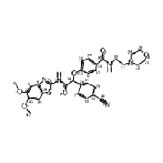 COc1cc2nc(NC(=O)C(Oc3ccc(C(=O)NCCN4CCOCC4)cc3)c3ccc(C#N)cc3)sc2cc1OC